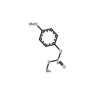 CCC(C)O[PH](=O)Oc1ccc(OC)cc1